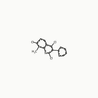 Cc1c(Cl)ccc2c(Cl)c(-c3ccccc3)c(Cl)nc12